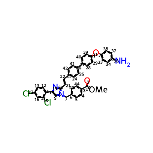 COC(=O)c1ccc(Cn2cc(-c3ccc(Cl)cc3Cl)nc2C=Cc2ccc(-c3ccc(Oc4ccc(N)cc4)cc3)cc2)cc1